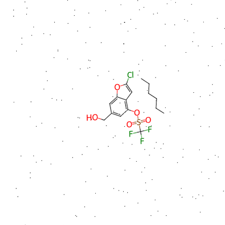 CCCCCC.O=S(=O)(Oc1cc(CO)cc2oc(Cl)cc12)C(F)(F)F